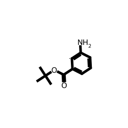 CC(C)(C)OC(=O)c1[c]c(N)ccc1